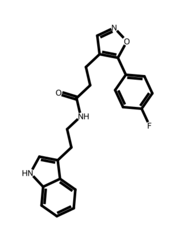 O=C(CCc1cnoc1-c1ccc(F)cc1)NCCc1c[nH]c2ccccc12